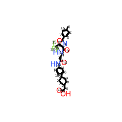 Cc1ccc(-c2nc(C(=O)NCCC(=O)Nc3ccc(C4CCC(CC(=O)O)CC4)cc3)c(C(F)(F)F)o2)cc1